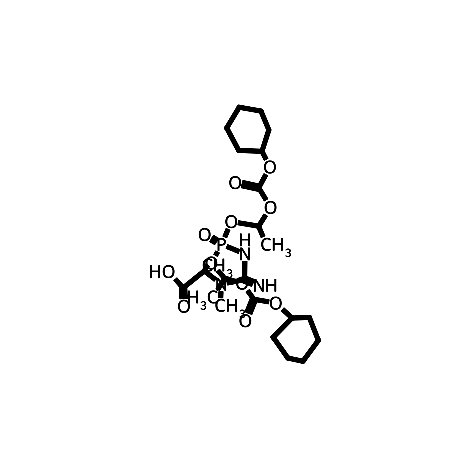 CC(OC(=O)OC1CCCCC1)OP(=O)(NC(=N)N(C)C(C)C(=O)O)OC(C)OC(=O)OC1CCCCC1